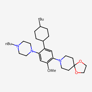 CCCCN1CCN(c2cc(OC)c(N3CCC4(CC3)OCCO4)cc2C2CCC(C(C)(C)C)CC2)CC1